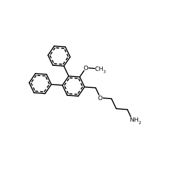 COc1c(COCCCN)ccc(-c2ccccc2)c1-c1ccccc1